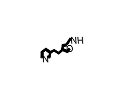 N=Cc1cc(CCc2cccnc2)co1